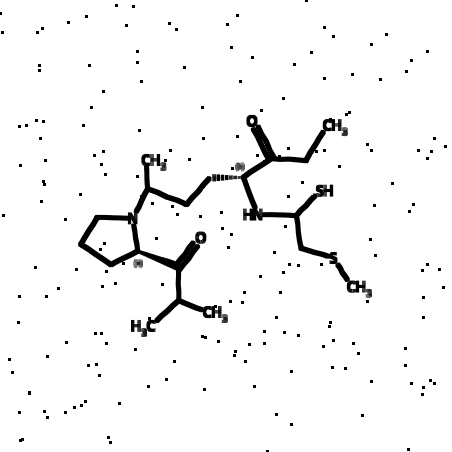 CCC(=O)[C@@H](CCC(C)N1CCC[C@@H]1C(=O)C(C)C)NC(S)CSC